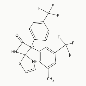 Cc1cc(C(F)(F)F)cc([N+]2(c3ccc(C(F)(F)F)cc3)C(=O)NC23NC=CS3)c1